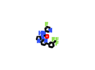 O=C(Nc1cncc(F)c1)N1c2nc(-c3cccc(C(F)(F)F)c3)ccc2N2CCC1C2